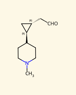 CN1CCC([C@H]2C[C@@H]2CC=O)CC1